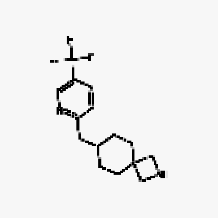 FC(F)(F)c1ccc(CC2CCC3(CC2)CNC3)nc1